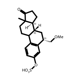 COC[C@H]1C[C@@H]2C(CCC3(C)C(=O)CC[C@@H]23)c2ccc(OS(=O)(=O)O)cc21